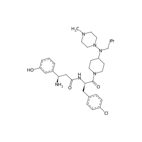 CC(C)CN(C1CCN(C(=O)[C@@H](Cc2ccc(Cl)cc2)NC(=O)C[C@@H](N)c2cccc(O)c2)CC1)N1CCN(C)CC1